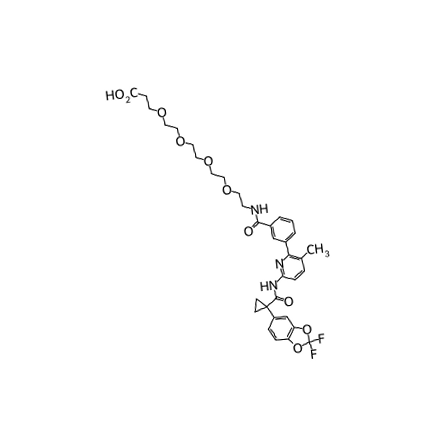 Cc1ccc(NC(=O)C2(c3ccc4c(c3)OC(F)(F)O4)CC2)nc1-c1cccc(C(=O)NCCOCCOCCOCCOCCC(=O)O)c1